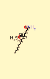 CCCCCCCCCCCCCCCCCC(N)=O.C[SiH2]O[SiH3]